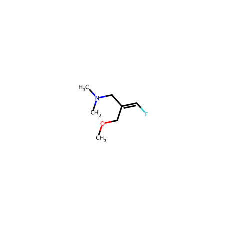 COC/C(=C\F)CN(C)C